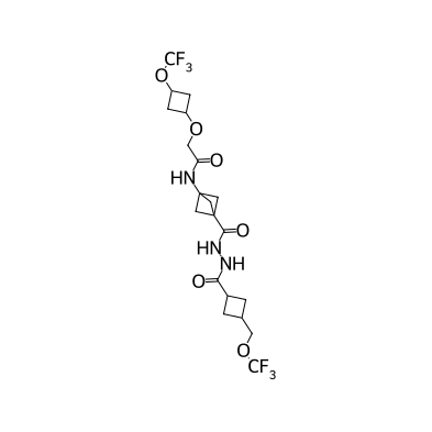 O=C(COC1CC(OC(F)(F)F)C1)NC12CC(C(=O)NNC(=O)C3CC(COC(F)(F)F)C3)(C1)C2